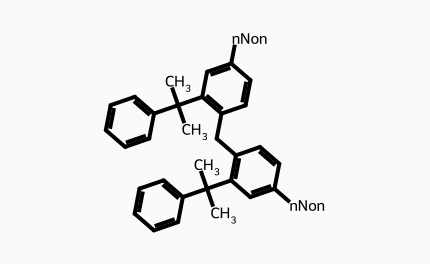 CCCCCCCCCc1ccc(Cc2ccc(CCCCCCCCC)cc2C(C)(C)c2ccccc2)c(C(C)(C)c2ccccc2)c1